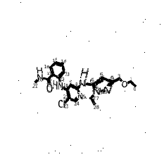 CCOCc1cc(Nc2cc(Nc3ccccc3C(=O)NC)c(Cl)cn2)n(CC)n1